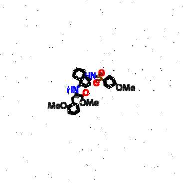 COC(=O)[C@H](Cc1ccccc1OC)Nc1ccc(NS(=O)(=O)c2ccc(OC)cc2)c2ccccc12